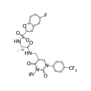 CC(C)n1c(=O)c(CNC(=O)[C@H](C)NS(=O)(=O)c2cc3cc(F)ccc3o2)cn(-c2ccc(C(F)(F)F)cc2)c1=O